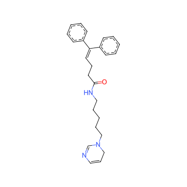 O=C(CCC=C(c1ccccc1)c1ccccc1)NCCCCCN1C=NC=CC1